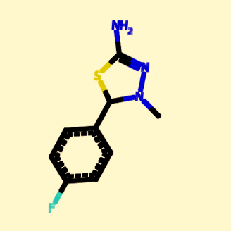 CN1N=C(N)SC1c1ccc(F)cc1